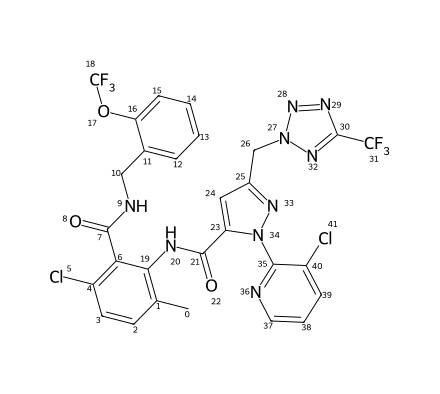 Cc1ccc(Cl)c(C(=O)NCc2ccccc2OC(F)(F)F)c1NC(=O)c1cc(Cn2nnc(C(F)(F)F)n2)nn1-c1ncccc1Cl